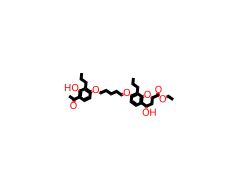 CCCc1c(OCCCCCOc2ccc3c(c2CCC)OC(C(=O)OCC)CC3O)ccc(C(C)=O)c1O